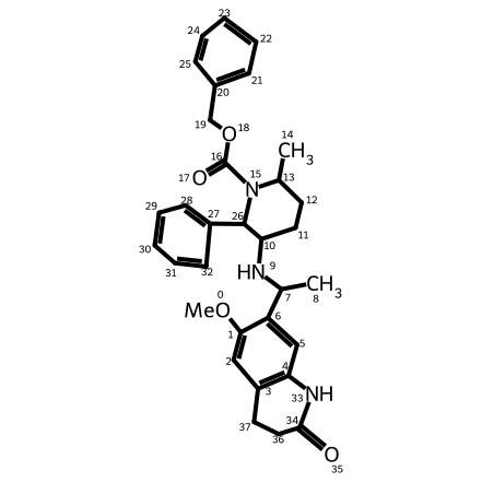 COc1cc2c(cc1C(C)NC1CCC(C)N(C(=O)OCc3ccccc3)C1c1ccccc1)NC(=O)CC2